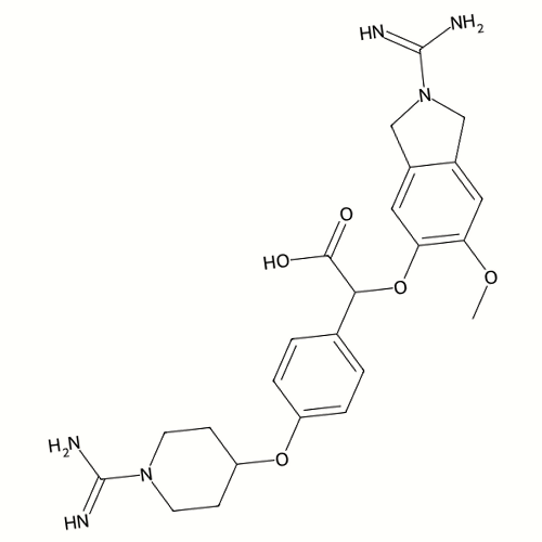 COc1cc2c(cc1OC(C(=O)O)c1ccc(OC3CCN(C(=N)N)CC3)cc1)CN(C(=N)N)C2